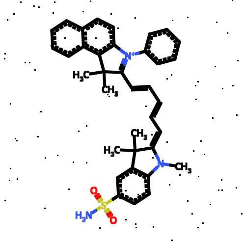 CN1/C(=C/C=C/C=C/C2=[N+](c3ccccc3)c3ccc4ccccc4c3C2(C)C)C(C)(C)c2cc(S(N)(=O)=O)ccc21